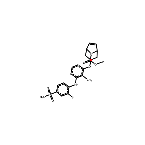 Cc1c(Nc2ccc(S(C)(=O)=O)cc2F)ncnc1OC1CC2C=CC(C1)N2C(=O)OC(C)C